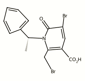 C[C@H](c1ccccc1)n1c(CBr)c(C(=O)O)cc(Br)c1=O